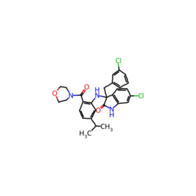 CC(C)c1ccc(C(=O)N2CCOCC2)c(NC2(Cc3cccc(Cl)c3)C(=O)Nc3cc(Cl)ccc32)c1